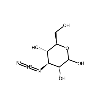 [N-]=[N+]=N[C@H]1[C@H](O)[C@@H](CO)OC(O)[C@@H]1O